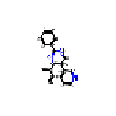 C=CC(=C)c1nc(-c2ccccc2)ncc1-c1cccnc1